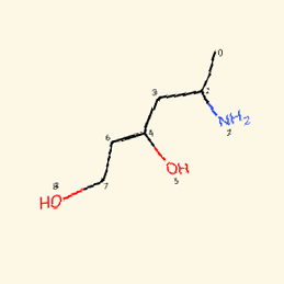 CC(N)CC(O)CCO